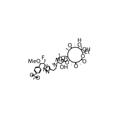 CC[C@H]1OC(=O)[C@H](C)C(=O)[C@H](C)[C@@H](O[C@@H]2O[C@H](C)C[C@H](N(C)CCc3cn([C@H](CF)[C@H](OC)c4ccc(S(C)(=O)=O)cc4)nn3)[C@H]2O)[C@](C)(OC)C[C@@H](C)C(=O)[C@H](C)[C@@H](O)[C@]1(C)O